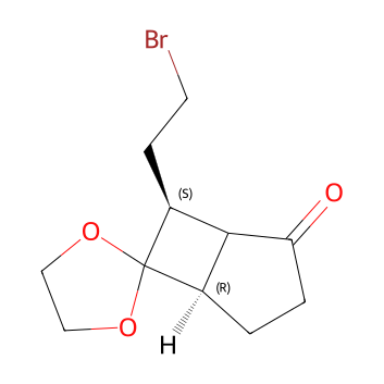 O=C1CC[C@@H]2C1[C@H](CCBr)C21OCCO1